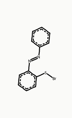 BrSc1ccccc1N=Nc1ccccc1